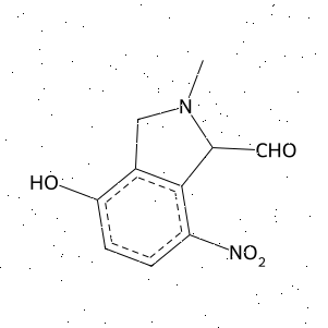 CN1Cc2c(O)ccc([N+](=O)[O-])c2C1C=O